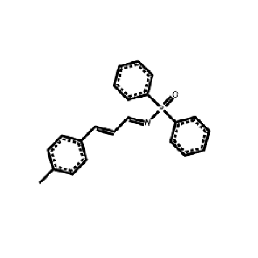 Cc1ccc(/C=C/C=N/P(=O)(c2ccccc2)c2ccccc2)cc1